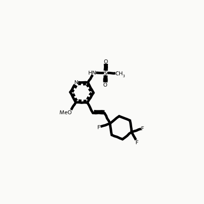 COc1cnc(NS(C)(=O)=O)cc1C=CC1(F)CCC(F)(F)CC1